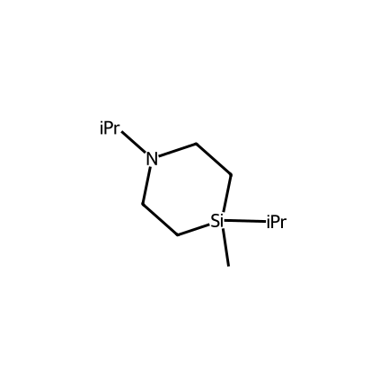 CC(C)N1CC[Si](C)(C(C)C)CC1